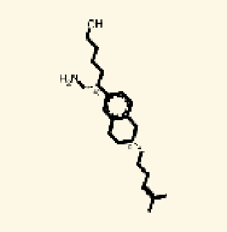 CC(C)=CCCC[C@@H]1CCc2cc([C@H](CN)CCCCO)ccc2C1